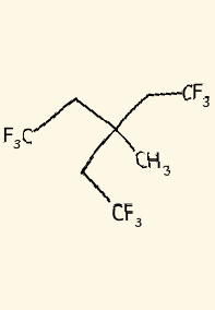 CC(CC(F)(F)F)(CC(F)(F)F)CC(F)(F)F